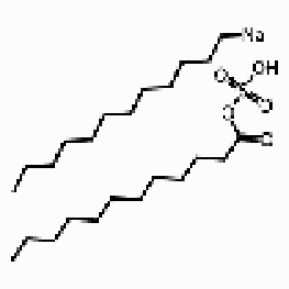 CCCCCCCCCCCC(=O)OS(=O)(=O)O.CCCCCCCCCCC[CH2][Na]